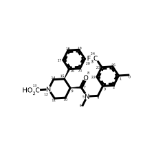 Cc1cc(CN(C)C(=O)[C@H]2CCN(C(=O)O)C[C@H]2c2ccccc2)cc(C(F)(F)F)c1